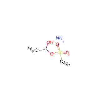 COS(=O)(=O)OC(C)O.N